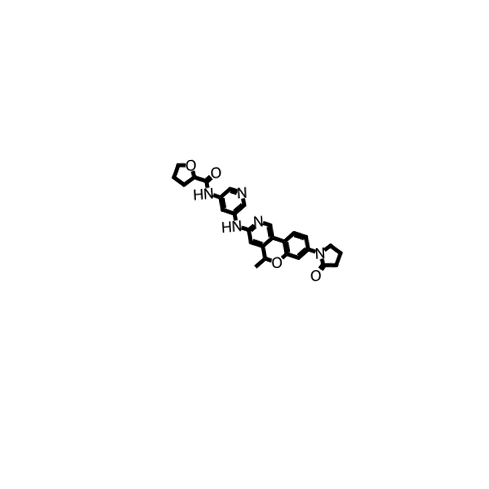 CC1Oc2cc(N3CCCC3=O)ccc2-c2cnc(Nc3cncc(NC(=O)C4CCCO4)c3)cc21